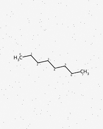 CC[CH]CC[CH]CC